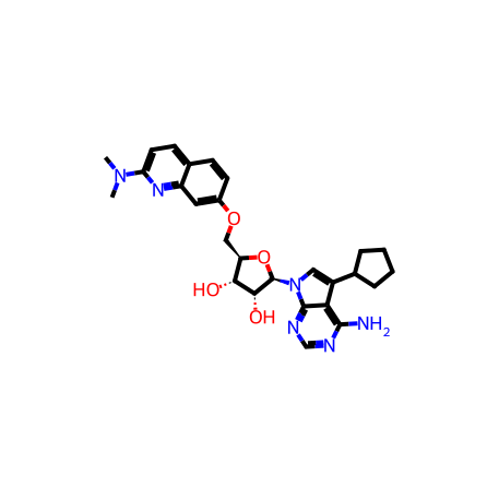 CN(C)c1ccc2ccc(OC[C@H]3O[C@@H](n4cc(C5CCCC5)c5c(N)ncnc54)[C@H](O)[C@@H]3O)cc2n1